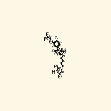 O=C1CN(CCCCCS(=O)(=O)NC2(c3ccc(F)c(OCC(F)F)c3)CC2)C(=O)N1